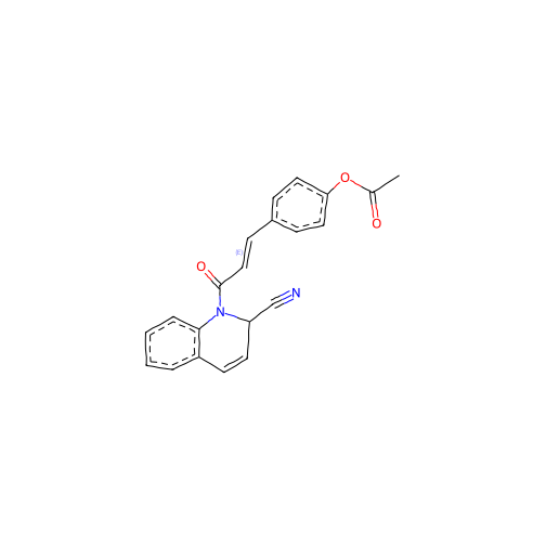 CC(=O)Oc1ccc(/C=C/C(=O)N2c3ccccc3C=CC2C#N)cc1